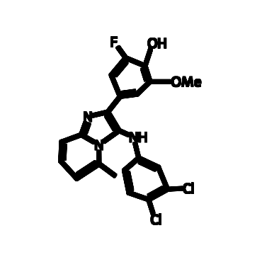 COc1cc(-c2nc3cccc(C)n3c2Nc2ccc(Cl)c(Cl)c2)cc(F)c1O